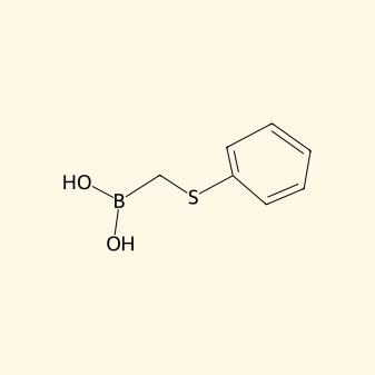 OB(O)CSc1ccccc1